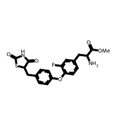 COC(=O)C(N)Cc1ccc(Oc2ccc(CC3SC(=O)NC3=O)cc2)c(F)c1